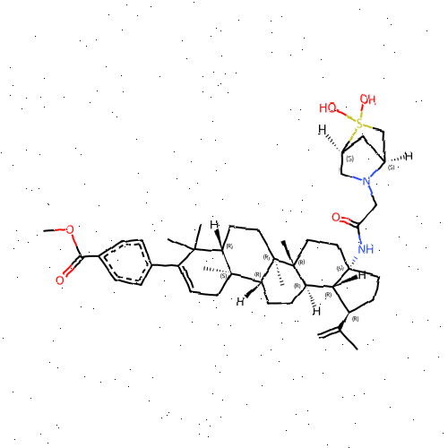 C=C(C)[C@@H]1CC[C@]2(NC(=O)CN3C[C@@H]4C[C@H]3CS4(O)O)CC[C@]3(C)[C@H](CC[C@@H]4[C@@]5(C)CC=C(c6ccc(C(=O)OC)cc6)C(C)(C)[C@@H]5CC[C@]43C)[C@@H]12